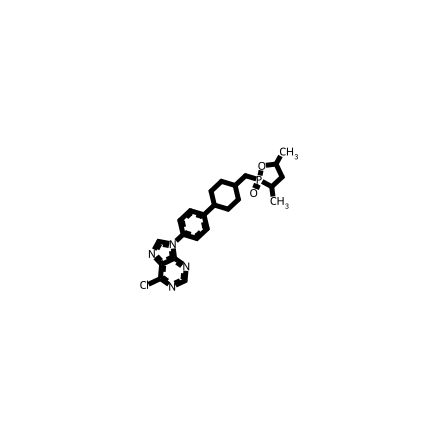 CC1CC(C)P(=O)(CC2CCC(c3ccc(-n4cnc5c(Cl)ncnc54)cc3)CC2)O1